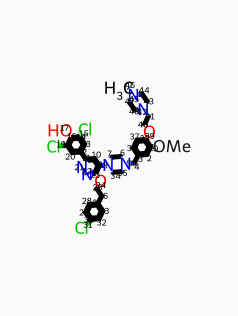 COc1cc(CN2CCN(c3cc(-c4cc(Cl)c(O)c(Cl)c4)nnc3OCCc3ccc(Cl)cc3)CC2)ccc1OCCN1CCN(C)CC1